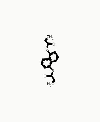 C=CC(=O)Sc1cccc2c(SC(=O)C=C)cccc12